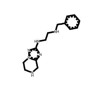 c1ccc(CNCCNc2nc3n(n2)CCNC3)cc1